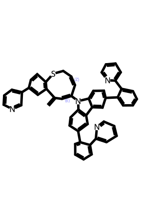 C=C1/C=C(n2c3ccc(-c4ccccc4-c4ccccn4)cc3c3cc(-c4ccccc4-c4ccccn4)ccc32)\C=C/CSc2ccc(-c3cccnc3)cc21